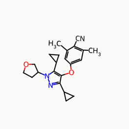 Cc1cc(Oc2c(C3CC3)nn(C3CCOC3)c2C2CC2)cc(C)c1C#N